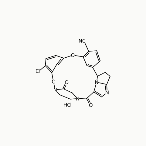 Cl.N#Cc1ccc2cc1Oc1ccc(Cl)c(c1)CN1CCN(CC1=O)C(=O)c1cnc3n1C2CC3